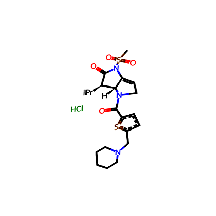 CC(C)[C@H]1C(=O)N(S(C)(=O)=O)C2=CCN(C(=O)c3ccc(CN4CCCCC4)s3)[C@@H]21.Cl